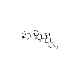 O=c1ccc2cc(-c3cc4c(nn3)N(C3CCNC5(CC5)C3)CC4)c(O)cc2o1